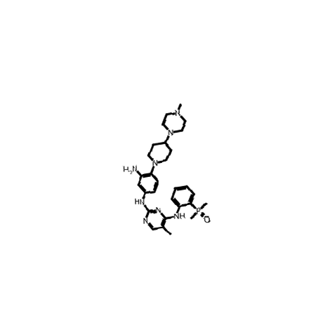 Cc1cnc(Nc2ccc(N3CCC(N4CCN(C)CC4)CC3)c(N)c2)nc1Nc1ccccc1P(C)(C)=O